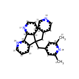 Cc1cc(CC2(Cc3ccncc3)c3cccnc3-c3ncccc32)cc(C)n1